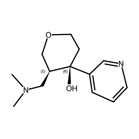 CN(C)C[C@H]1COCC[C@]1(O)c1cccnc1